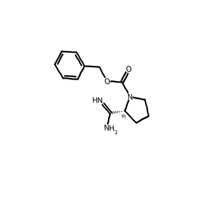 N=C(N)[C@H]1CCCN1C(=O)OCc1ccccc1